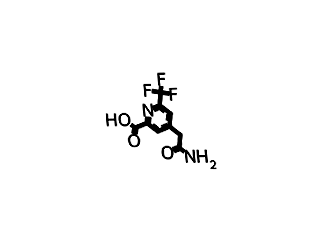 NC(=O)Cc1cc(C(=O)O)nc(C(F)(F)F)c1